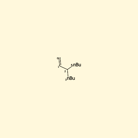 C=CC(CCCC)CCCC